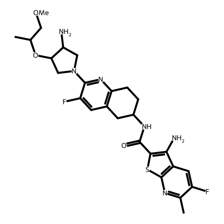 COCC(C)OC1CN(c2nc3c(cc2F)CC(NC(=O)c2sc4nc(C)c(F)cc4c2N)CC3)CC1N